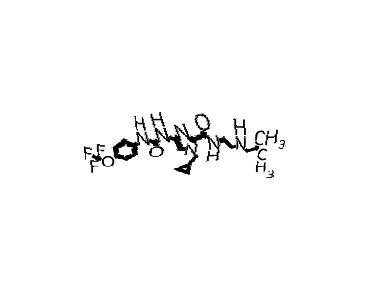 CC(C)CNCCNC(=O)c1nc(NC(=O)Nc2ccc(OC(F)(F)F)cc2)cn1CC1CC1